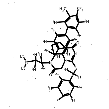 [2H]c1c([2H])c(C([2H])([2H])Sc2nc(=O)c3c(n2CC(=O)N(C([2H])([2H])c2c([2H])c([2H])c(-c4c([2H])c([2H])c(C(F)(F)F)c(C)c4[2H])c([2H])c2[2H])C([2H])([2H])C([2H])([2H])N(CC)CC)CCC3)c([2H])c([2H])c1F